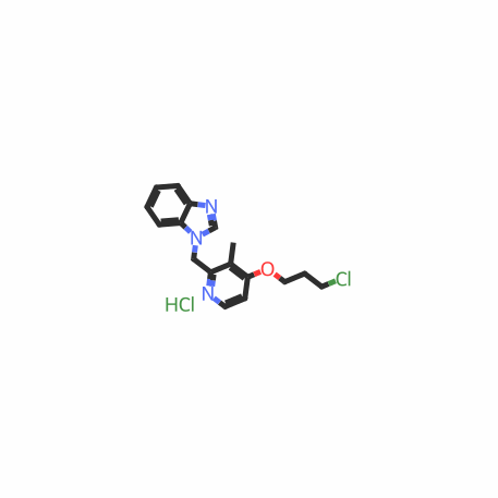 Cc1c(OCCCCl)ccnc1Cn1cnc2ccccc21.Cl